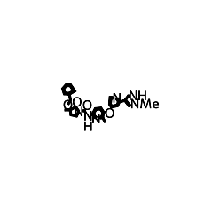 CN/C=C(\C=N)c1cc(Oc2ccc(NC(=O)N3CCC(C)(OCc4ccccc4)C3=O)nc2C)ccn1